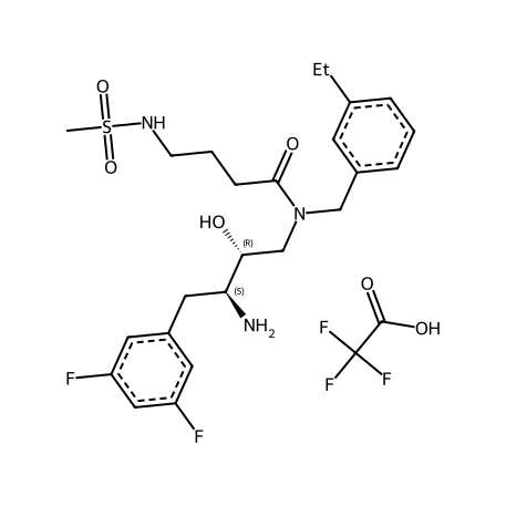 CCc1cccc(CN(C[C@@H](O)[C@@H](N)Cc2cc(F)cc(F)c2)C(=O)CCCNS(C)(=O)=O)c1.O=C(O)C(F)(F)F